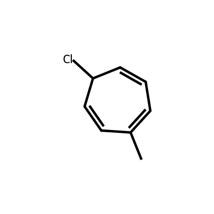 CC1=CC=CC(Cl)C=C1